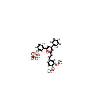 CCOc1ccc(C=Cc2cc(-c3ccccc3)cc(-c3ccccc3)[o+]2)cc1OCC.[O-][Cl+3]([O-])([O-])[O-]